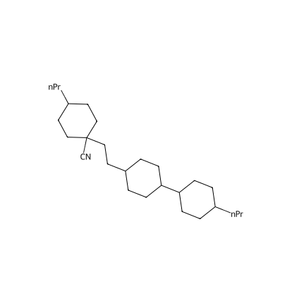 CCCC1CCC(C2CCC(CCC3(C#N)CCC(CCC)CC3)CC2)CC1